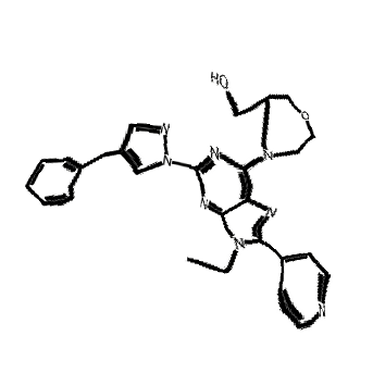 CCn1c(-c2ccncc2)nc2c(N3CCOCC3CO)nc(-n3cc(-c4ccccc4)cn3)nc21